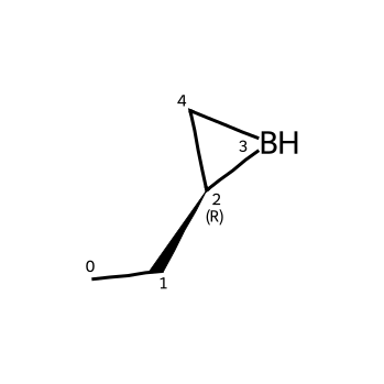 CC[C@@H]1BC1